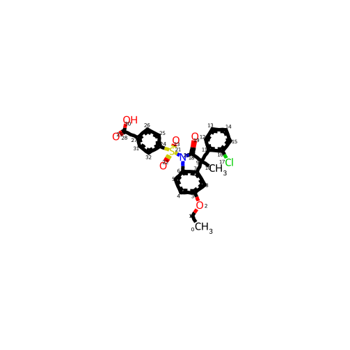 CCOc1ccc2c(c1)C(C)(c1ccccc1Cl)C(=O)N2S(=O)(=O)c1ccc(C(=O)O)cc1